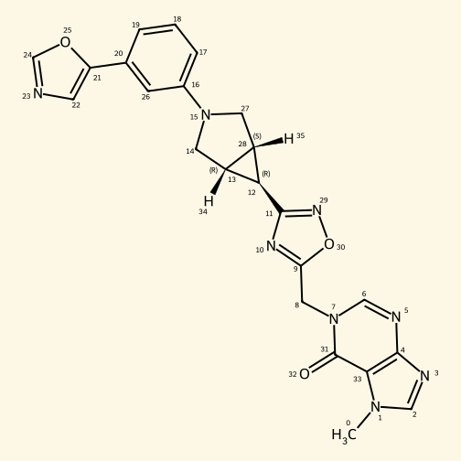 Cn1cnc2ncn(Cc3nc([C@H]4[C@@H]5CN(c6cccc(-c7cnco7)c6)C[C@@H]54)no3)c(=O)c21